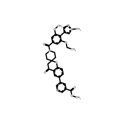 CCOc1cc(C(=O)N2CCC3(CC2)CC(=O)c2cc(-c4cncc(C(=O)OC)c4)ccc2O3)cc(OC)c1-c1cnn(C)c1